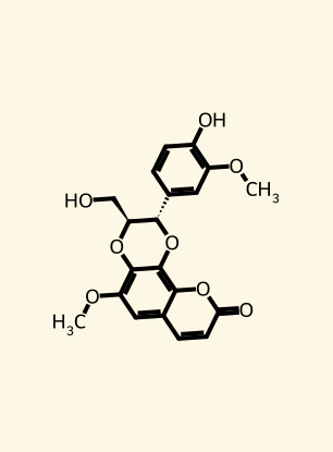 COc1cc([C@@H]2Oc3c(c(OC)cc4ccc(=O)oc34)O[C@H]2CO)ccc1O